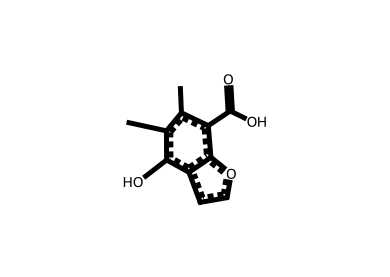 Cc1c(C)c(C(=O)O)c2occc2c1O